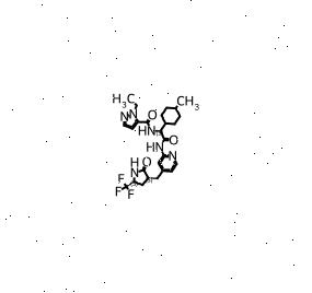 CCn1nccc1C(=O)N[C@H](C(=O)Nc1cc(C[C@H]2C[C@@H](C(F)(F)F)NC2=O)ccn1)C1CCC(C)CC1